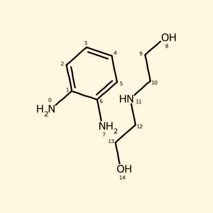 Nc1ccccc1N.OCCNCCO